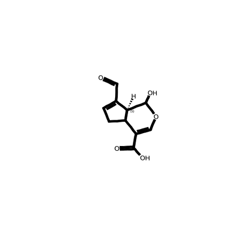 O=CC1=CCC2C(C(=O)O)=COC(O)[C@H]12